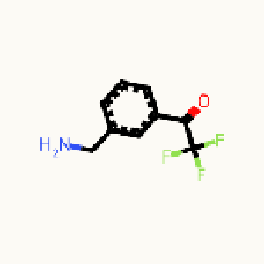 NCc1cccc(C(=O)C(F)(F)F)c1